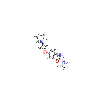 C[C@@H]1CCCN1CC(=O)Nc1ccc(OC2CC(N3CCCCC3)C2)cc1